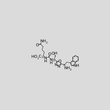 NC(=O)CCC[C@H](NC(=O)N[C@@H](CO)c1nnc([C@@H](N)Cc2c[nH]c3ccccc23)o1)C(=O)O